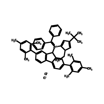 CCC1C=C(C(C)(C)C)C=[C]1[Zr+2](=[C](c1ccccc1)c1ccccc1)[CH]1c2cc(-c3c(C)cc(C)cc3C)ccc2-c2ccc(-c3c(C)cc(C)cc3C)cc21.[Cl-].[Cl-]